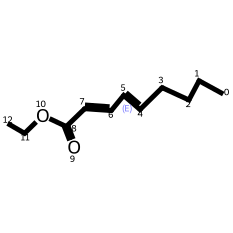 CCCC/C=C/C=CC(=O)OCC